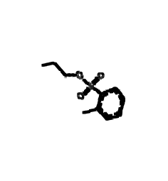 CC[CH]OS(=O)(=O)c1ccccc1C